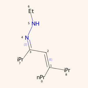 CCC/C(=C\C(=N/NCC)C(C)C)C(C)C